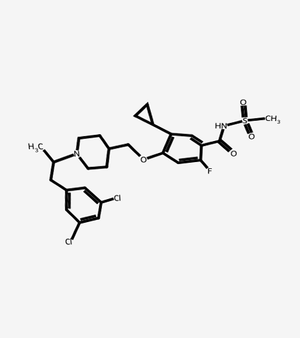 CC(Cc1cc(Cl)cc(Cl)c1)N1CCC(COc2cc(F)c(C(=O)NS(C)(=O)=O)cc2C2CC2)CC1